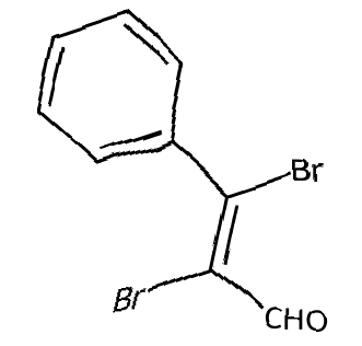 O=CC(Br)=C(Br)c1ccccc1